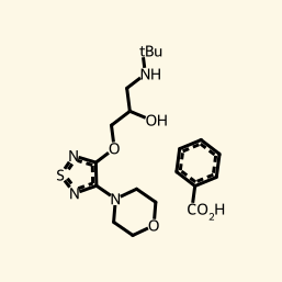 CC(C)(C)NCC(O)COc1nsnc1N1CCOCC1.O=C(O)c1ccccc1